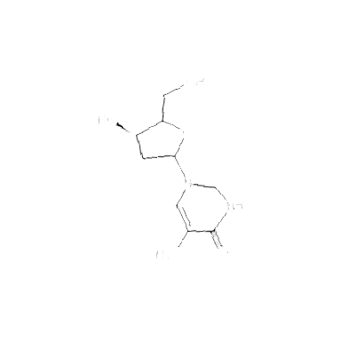 CC1=CN(C2C[C@@H](O)C(CO)O2)CNC1=O